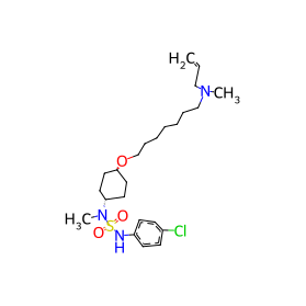 C=CCN(C)CCCCCCCO[C@H]1CC[C@H](N(C)S(=O)(=O)Nc2ccc(Cl)cc2)CC1